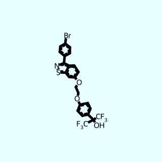 OC(c1ccc(OCCOc2ccc3c(-c4ccc(Br)cc4)nsc3c2)cc1)(C(F)(F)F)C(F)(F)F